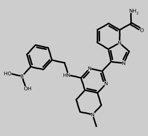 CN1CCc2c(nc(-c3ncn4c(C(N)=O)cccc34)nc2NCc2cccc(B(O)O)c2)C1